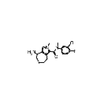 Cn1cc2c(c1C(=O)Nc1ccc(F)c(Cl)c1)CCCC[C@H]2N